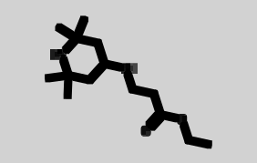 CCOC(=O)CCNC1CC(C)(C)NC(C)(C)C1